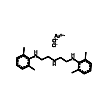 Cc1cccc(C)c1NCCNCCNc1c(C)cccc1C.[Au+2].[Cl-].[Cl-]